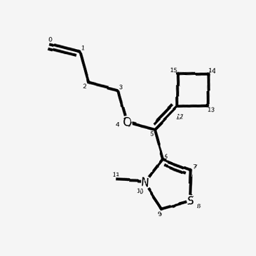 C=CCCOC(C1=CSCN1C)=C1CCC1